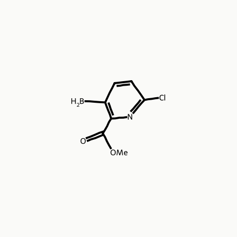 Bc1ccc(Cl)nc1C(=O)OC